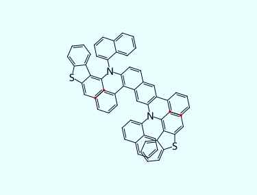 c1ccc(-c2cc3ccc(N(c4cccc5ccccc45)c4cccc5sc6ccccc6c45)c(-c4ccccc4)c3cc2N(c2cccc3ccccc23)c2cccc3sc4ccccc4c23)cc1